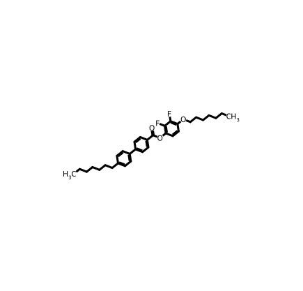 CCCCCCCOc1ccc(OC(=O)c2ccc(-c3ccc(CCCCCCC)cc3)cc2)c(F)c1F